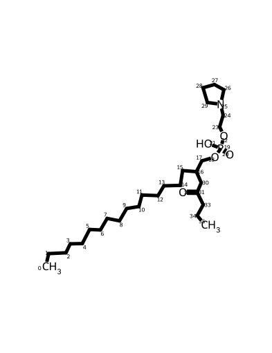 CCCCCCCCCCCCCCCCC(COP(=O)(O)OCCN1CCCC1)CC(=O)CCC